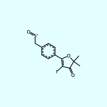 CC1(C)OC(c2ccc(C[S+]=O)cc2)=C(I)C1=O